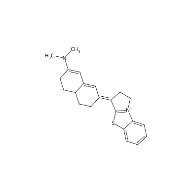 CN(C)C1=CC2=C/C(=C3\CC[n+]4c3sc3ccccc34)CCC2CC1